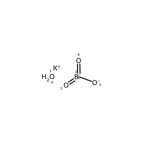 O.[K+].[O]=[Bi](=[O])[O-]